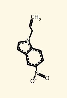 C=CCn1ccc2cc([N+](=O)[O-])ccc21